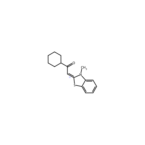 CN1/C(=C\C(=O)C2CCCCC2)Sc2ccccc21